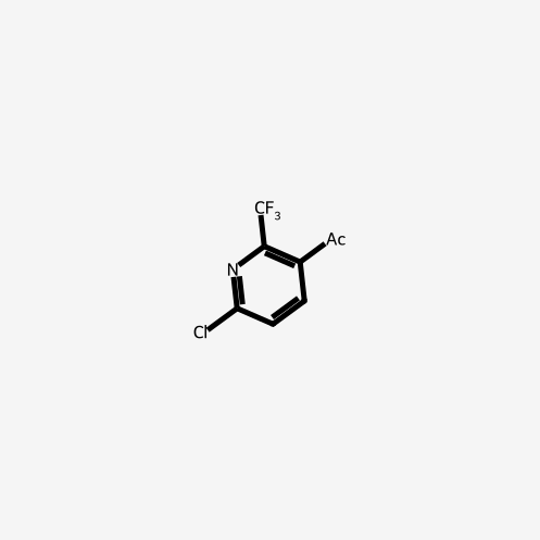 CC(=O)c1ccc(Cl)nc1C(F)(F)F